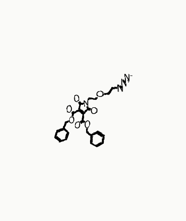 [N-]=[N+]=NCCOCCN1C(=O)C(C(=O)OCc2ccccc2)=C(C(=O)OCc2ccccc2)C1=O